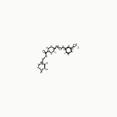 CN1CCN(CCC(=O)N2CCC(=NOCc3cccc(C(F)(F)F)c3)CC2)CC1